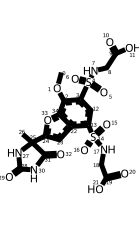 COc1c(S(=O)(=O)NCC(=O)O)cc(S(=O)(=O)NCC(=O)O)c2cc(C3(C)NC(=O)NC3=O)oc12